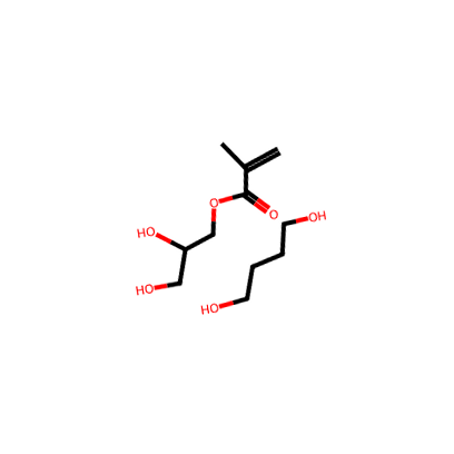 C=C(C)C(=O)OCC(O)CO.OCCCCO